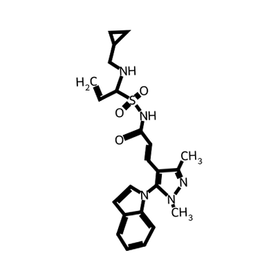 C=CC(NCC1CC1)S(=O)(=O)NC(=O)/C=C/c1c(C)nn(C)c1-n1ccc2ccccc21